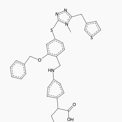 CCC(C(=O)O)c1ccc(NCc2ccc(Sc3nnc(Cc4ccsc4)n3C)cc2OCc2ccccc2)cc1